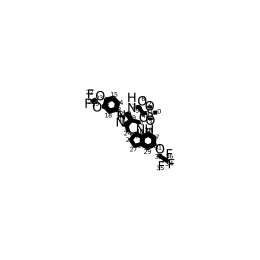 CS(=O)(=O)CC(=O)Nc1c2c(nn1-c1ccc3c(c1)OC(F)(F)O3)C[C@]1(CCc3cc(OCC(F)(F)F)ccc31)NC2=O